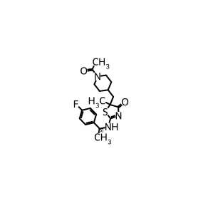 CC(=O)N1CCC(CC2(C)SC(N[C@@H](C)c3ccc(F)cc3)=NC2=O)CC1